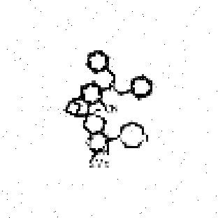 CSc1nc2c(c(N3CCCOCC3)n1)COC1(C2)c2c(ccc(N(Cc3ccccc3)Cc3ccccc3)c2C#N)C2CC1C2